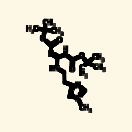 Cn1cnc(CCN/C(=N/C(=O)OC(C)(C)C)NC(=O)OC(C)(C)C)c1